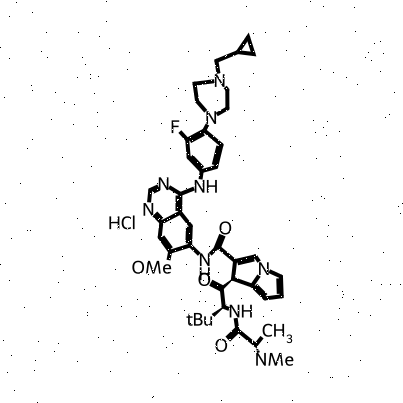 CN[C@@H](C)C(=O)N[C@H](C(=O)[C@H]1C(C(=O)Nc2cc3c(Nc4ccc(N5CCN(CC6CC6)CC5)c(F)c4)ncnc3cc2OC)=Cn2cccc21)C(C)(C)C.Cl